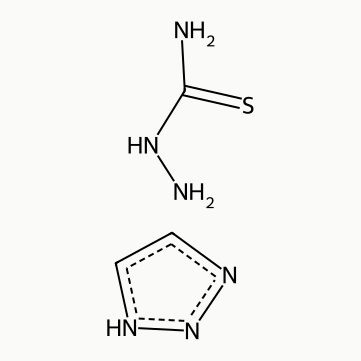 NNC(N)=S.c1c[nH]nn1